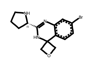 Brc1ccc2c(c1)N=C([C@@H]1CCCN1)NC21COC1